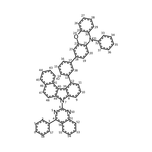 c1ccc(-c2nc(-n3c4cccc(-c5cccc(-c6ccc7c(c6)Oc6ccccc6N7c6ccccc6)c5)c4c4c5ccccc5ccc43)nc3ccccc23)cc1